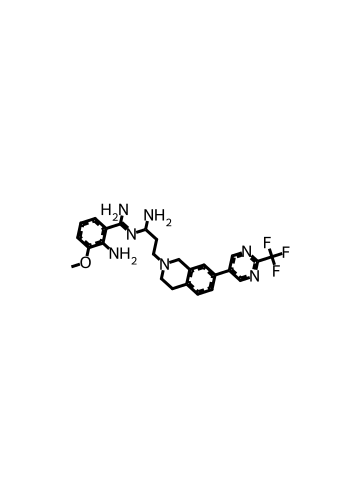 COc1cccc(/C(N)=N/C(N)CCN2CCc3ccc(-c4cnc(C(F)(F)F)nc4)cc3C2)c1N